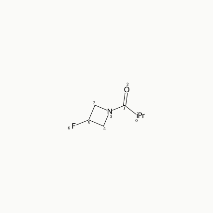 CC(C)C(=O)N1CC(F)C1